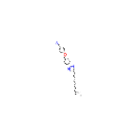 CCCCCCCCCc1cnc([C@H]2CC[C@H](COc3ccc(C#N)cc3)CC2)nc1